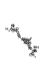 CCOc1cc(-c2ccc(N3CCC(COC/C(N)=C/N(N)CCCN4CCN(c5ccc6c(c5)CN(C(CCC=O)C(=O)NC)C6=O)CC4)(NC(=O)c4cc(F)ccc4F)CC3)nc2)c2c(C=N)cnn2c1